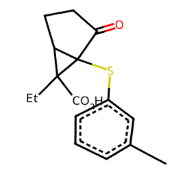 CCC1(C(=O)O)C2CCC(=O)C21Sc1cccc(C)c1